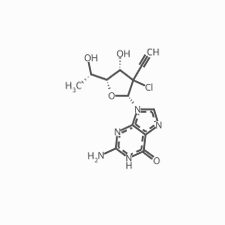 C#CC1(Cl)[C@@H](O)[C@@H]([C@H](C)O)O[C@H]1n1cnc2c(=O)[nH]c(N)nc21